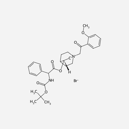 COc1ccccc1C(=O)C[N+]12CCC(CC1)[C@@H](OC(=O)C(NC(=O)OC(C)(C)C)c1ccccc1)C2.[Br-]